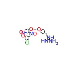 N=C(N)NCCc1ccc(OCCC2Oc3ccc([N+](=O)[O-])cc3N(Cc3cccc(Cl)c3)C2=O)cc1